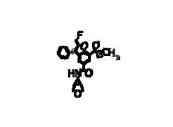 COC(=O)c1cc(C(=O)NC2C3COCC32)cc2c1OC(CF)[C@H]2c1ccccc1